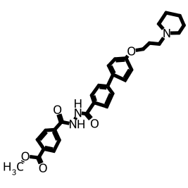 COC(=O)c1ccc(C(=O)NNC(=O)c2ccc(-c3ccc(OCCCN4CCCCC4)cc3)cc2)cc1